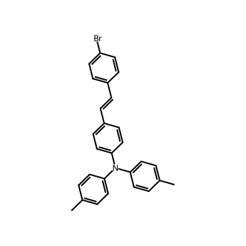 Cc1ccc(N(c2ccc(C)cc2)c2ccc(C=Cc3ccc(Br)cc3)cc2)cc1